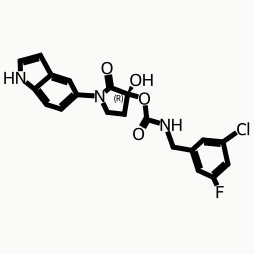 O=C(NCc1cc(F)cc(Cl)c1)O[C@]1(O)CCN(c2ccc3[nH]ccc3c2)C1=O